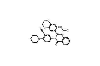 N#Cc1cc(N2C(=O)c3ccccc3[C@@H](C(=O)O)[C@@H]2c2ccc3c(c2)OCCO3)ccc1N1CCOCC1